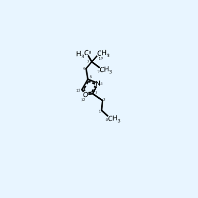 CCCc1nc(CC(C)(C)C)co1